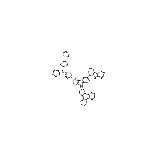 c1ccc(-c2ccc(N(c3ccccc3)c3ccc(-c4ccc5c(c4)c4cc(-c6cccc7c6sc6ccccc67)ccc4n5-c4ccc5c6ccccc6c6ccccc6c5c4)cc3)cc2)cc1